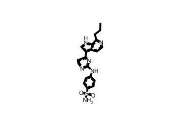 CCCc1nccc2c(-c3ccnc(Nc4ccc(S(N)(=O)=O)cc4)n3)c[nH]c12